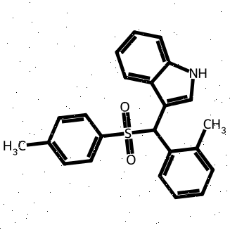 Cc1ccc(S(=O)(=O)C(c2ccccc2C)c2c[nH]c3ccccc23)cc1